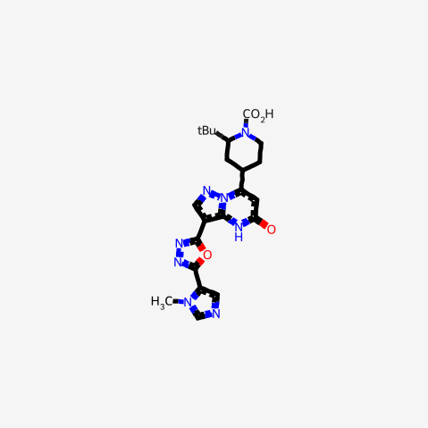 Cn1cncc1-c1nnc(-c2cnn3c(C4CCN(C(=O)O)C(C(C)(C)C)C4)cc(=O)[nH]c23)o1